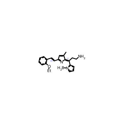 Bn1cccc1/C(CCN)=C1N=C(/C=C/c2ccccc2OCC)C=C\1C